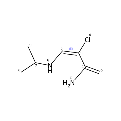 C=C(N)/C(Cl)=C\NC(C)C